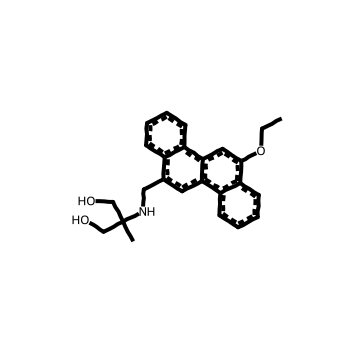 CCOc1cc2c3ccccc3c(CNC(C)(CO)CO)cc2c2ccccc12